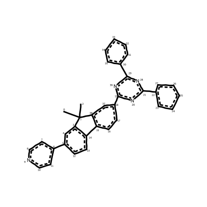 CC1(C)c2cc(-c3ccncc3)ccc2-c2ccc(-c3nc(-c4ccccc4)nc(-c4ccccc4)n3)cc21